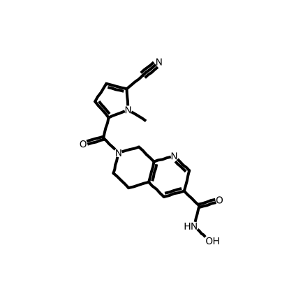 Cn1c(C#N)ccc1C(=O)N1CCc2cc(C(=O)NO)cnc2C1